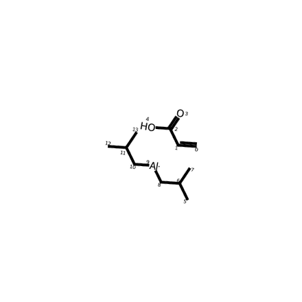 C=CC(=O)O.CC(C)[CH2][Al][CH2]C(C)C